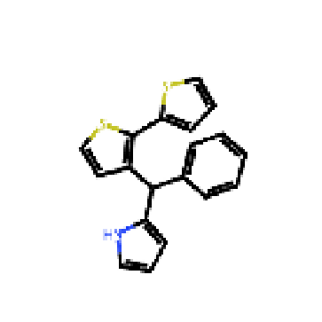 c1ccc(C(c2ccc[nH]2)c2ccsc2-c2cccs2)cc1